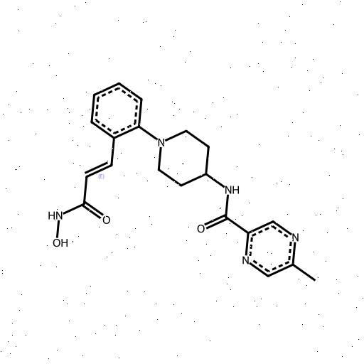 Cc1cnc(C(=O)NC2CCN(c3ccccc3/C=C/C(=O)NO)CC2)cn1